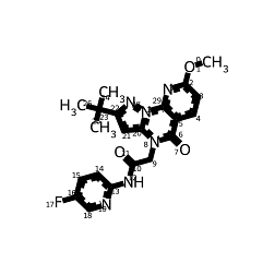 COc1ccc2c(=O)n(CC(=O)Nc3ccc(F)cn3)c3cc(C(C)(C)C)nn3c2n1